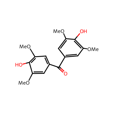 COc1cc(C(=O)c2cc(OC)c(O)c(OC)c2)cc(OC)c1O